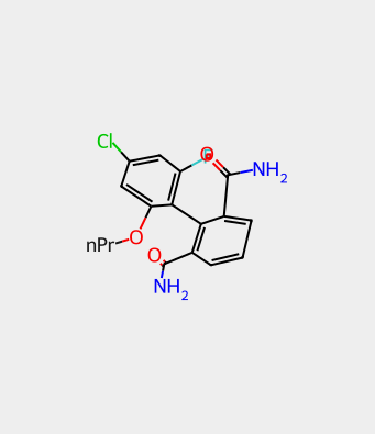 CCCOc1cc(Cl)cc(F)c1-c1c(C(N)=O)cccc1C(N)=O